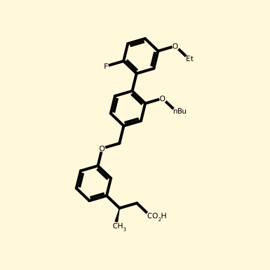 CCCCOc1cc(COc2cccc([C@H](C)CC(=O)O)c2)ccc1-c1cc(OCC)ccc1F